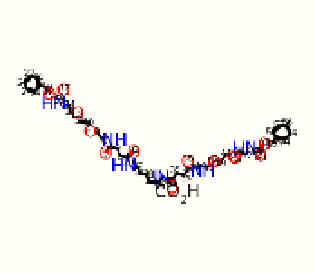 O=C(CCC(=O)NCCOCCOCCNC(=O)OCc1ccccc1)NCCCC[C@H](NC(=O)CCC(=O)NCCOCCOCCNC(=O)OCc1ccccc1)C(=O)O